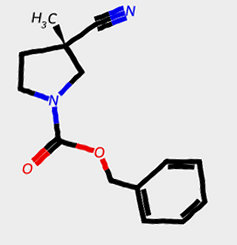 C[C@]1(C#N)CCN(C(=O)OCc2ccccc2)C1